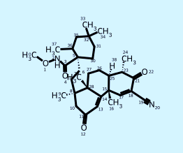 CONC(=O)[C@]1(CC[C@]2(C)CC(=O)C=C3[C@@]4(C)C=C(C#N)C(=O)[C@@H](C)[C@@H]4CC[C@]32C)CCC(C)(C)CC1C